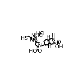 Cl.Cl.O=C(O)[C@@H]1C[C@H]2C[C@@H](CN3C[C@@H](n4nnc(CS)n4)C[C@H]3C(=O)O)CC[C@H]2CN1